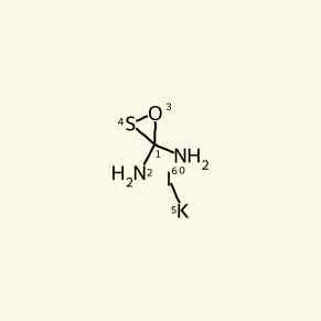 NC1(N)OS1.[K][I]